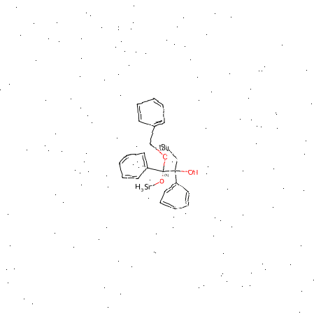 CC(C)(C)CC(O)(c1ccccc1)[C@](O[SiH3])(OCc1ccccc1)c1ccccc1